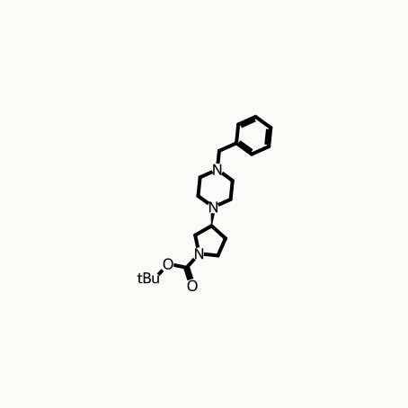 CC(C)(C)OC(=O)N1CC[C@H](N2CCN(Cc3ccccc3)CC2)C1